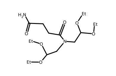 CCOC(CN(CC(OCC)OCC)C(=O)CCC(N)=O)OCC